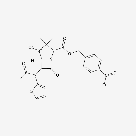 CC(=O)N(c1cccs1)C1C(=O)N2C(C(=O)OCc3ccc([N+](=O)[O-])cc3)C(C)(C)[S+]([O-])[C@H]12